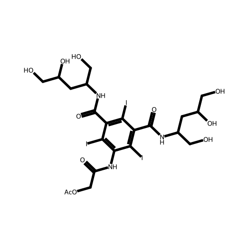 CC(=O)OCC(=O)Nc1c(I)c(C(=O)NC(CO)CC(O)CO)c(I)c(C(=O)NC(CO)CC(O)CO)c1I